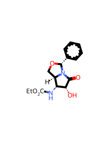 CCOC(=O)N[C@@H]1[C@H]2CO[C@H](c3ccccc3)N2C(=O)[C@@H]1O